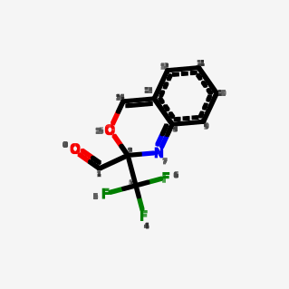 O=CC1(C(F)(F)F)N=c2ccccc2=CO1